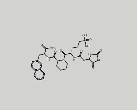 NC(=O)[C@H](Cc1ccc2ccccc2c1)NC(=O)[C@@H]1CCCCN1C(=O)[C@H](CSCP(=O)(O)O)NC(=O)CC1NC(=O)NC1=O